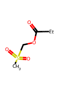 CCC(=O)OCS(C)(=O)=O